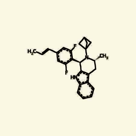 C/C=C/c1cc(F)c([C@@H]2c3[nH]c4ccccc4c3C[C@@H](C)N2C23CC(C2)C3)c(F)c1